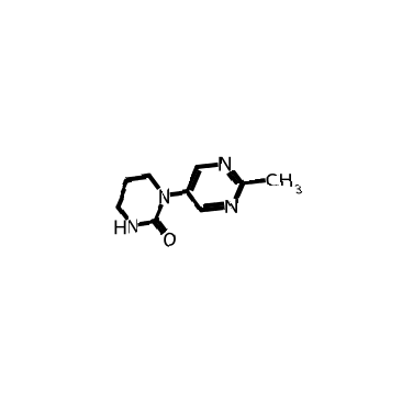 Cc1ncc(N2CCCNC2=O)cn1